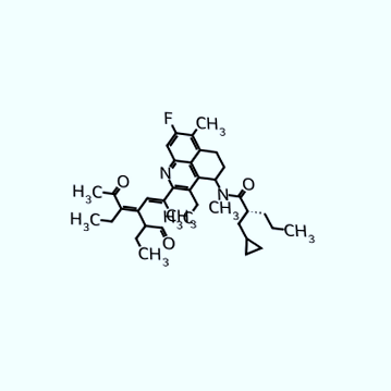 CCC[C@H](CC1CC1)C(=O)N(C)C1CCc2c(C)c(F)cc3nc(/C(C)=C/C(=C(/CC)C(C)=O)C(C=O)CC)c(CC)c1c23